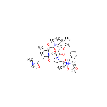 CC[C@H](C)[C@@H]([C@@H](CC(=O)N1CCCC1[C@H](OC)[C@@H](C)C(=O)N[C@H](Cc1ccccc1)C(C)=O)OC)N(C)C(=O)C(=O)[C@H](C(C)C)N(C)C(=O)CCCC(=O)N(C)C